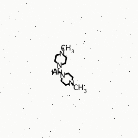 CN1CC[N]([Al][N]2CCN(C)CC2)CC1.[HH]